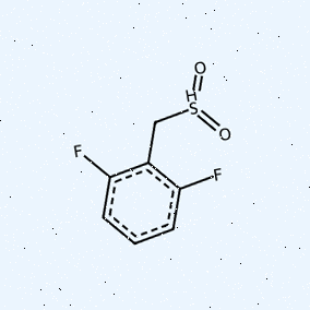 O=[SH](=O)Cc1c(F)cccc1F